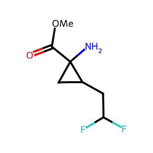 COC(=O)C1(N)CC1CC(F)F